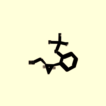 OC[C@H]1C[C@@H]1c1ccccc1OC(F)(F)F